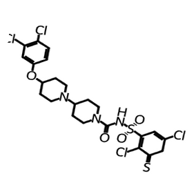 O=C(NS(=O)(=O)C1=C(Cl)C(=S)CC(Cl)=C1)N1CCC(N2CCC(Oc3ccc(Cl)c(Cl)c3)CC2)CC1